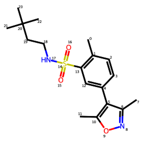 Cc1ccc(-c2c(C)noc2C)cc1S(=O)(=O)NC[CH]C(C)(C)C